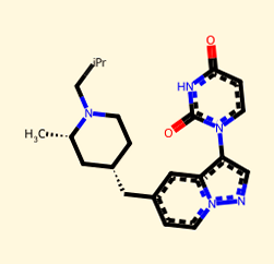 CC(C)CN1CC[C@H](Cc2ccn3ncc(-n4ccc(=O)[nH]c4=O)c3c2)C[C@@H]1C